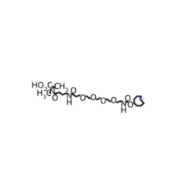 C[C@@H](C(=O)O)N(C)C(=O)CCCNC(=O)CCOCCOCCOCCOCCNC(=O)OC1CC/C=C/CCC1